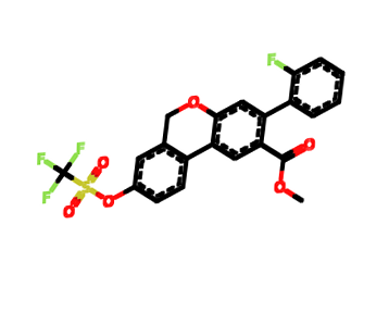 COC(=O)c1cc2c(cc1-c1ccccc1F)OCc1cc(OS(=O)(=O)C(F)(F)F)ccc1-2